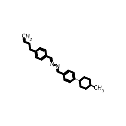 C=CCCc1ccc(C=NN=Cc2ccc([C@H]3CC[C@H](C)CC3)cc2)cc1